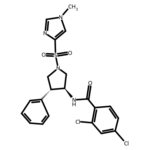 Cn1cnc(S(=O)(=O)N2C[C@@H](NC(=O)c3ccc(Cl)cc3Cl)[C@H](c3ccccc3)C2)c1